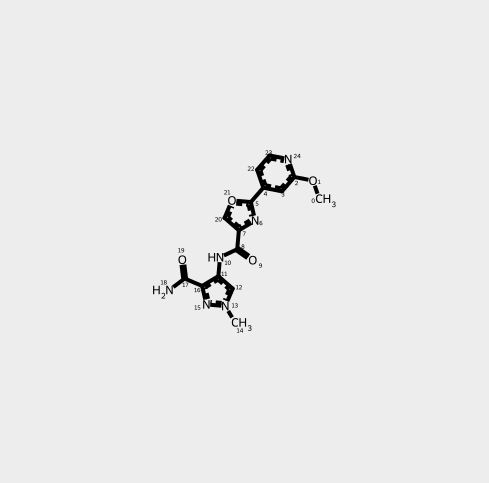 COc1cc(-c2nc(C(=O)Nc3cn(C)nc3C(N)=O)co2)ccn1